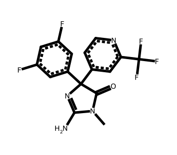 CN1C(=O)C(c2cc(F)cc(F)c2)(c2ccnc(C(F)(F)F)c2)N=C1N